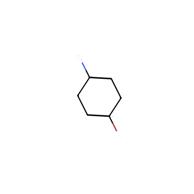 NC1CCC(Br)CC1